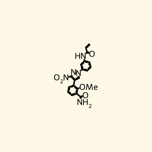 C=CC(=O)Nc1cccc(-n2cc(-c3cccc(C(N)=O)c3OC)c([N+](=O)[O-])n2)c1